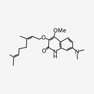 COc1c(OCC=C(C)CCC=C(C)C)c(=O)[nH]c2cc(N(C)C)ccc12